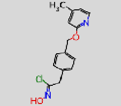 Cc1ccnc(OCc2ccc(C/C(Cl)=N/O)cc2)c1